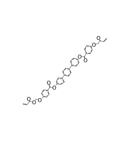 C=CC(=O)COc1ccc(C(=O)Oc2ccc(-c3ccc(-c4ccc(OC(=O)c5ccc(OCOC(=O)C=C)cc5)cc4)cc3)cc2)cc1